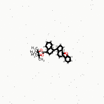 CC1(C)OB(c2ccc(-c3cccc4c3ccc3c5ccccc5oc43)c3ccccc23)OC1(C)C